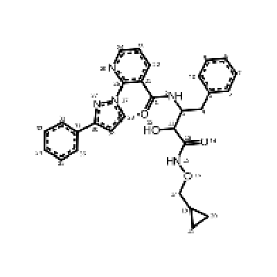 O=C(NC(Cc1ccccc1)C(O)C(=O)NOCC1CC1)c1cccnc1-n1ccc(-c2ccccc2)n1